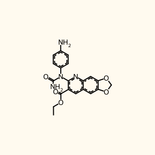 CCOC(=O)c1cc2cc3c(cc2nc1N(C(N)=O)c1ccc(N)cc1)OCO3